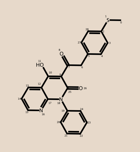 CSc1ccc(CC(=O)c2c(O)c3cccnc3n(-c3ccccc3)c2=O)cc1